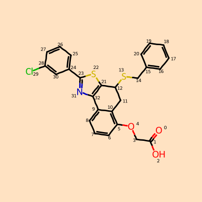 O=C(O)COc1cccc2c1CC(SCc1ccccc1)c1sc(-c3cccc(Cl)c3)nc1-2